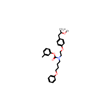 CCOC(Cc1ccc(OCCN(CCCCOc2ccccc2)C(=O)Oc2cccc(C)c2)cc1)C(=O)O